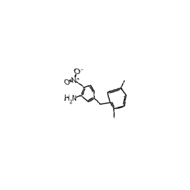 Cc1ccc(C)c(Cc2ccc([N+](=O)[O-])c(N)c2)c1